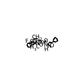 [CH2][C@@H](O)C[C@@H](COC(=O)Nc1cc(-c2ccccc2)on1)N(NCc1cccc(F)c1Cl)C(C)=O